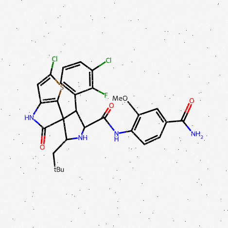 COc1cc(C(N)=O)ccc1NC(=O)C1NC(CC(C)(C)C)C2(C(=O)Nc3cc(Cl)sc32)C1c1cccc(Cl)c1F